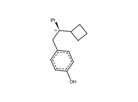 CC(C)[C@H](Cc1ccc(O)cc1)C1CCC1